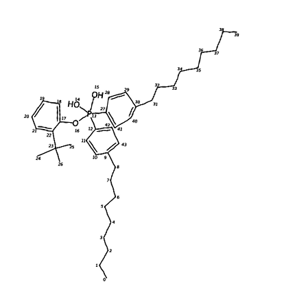 CCCCCCCCCc1ccc(P(O)(O)(Oc2ccccc2C(C)(C)C)c2ccc(CCCCCCCCC)cc2)cc1